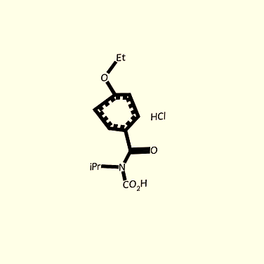 CCOc1ccc(C(=O)N(C(=O)O)C(C)C)cc1.Cl